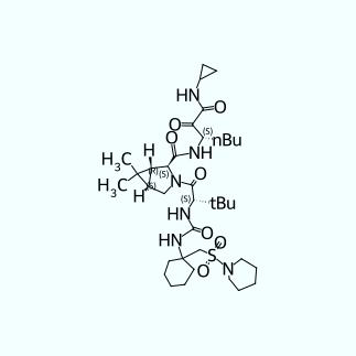 CCCC[C@H](NC(=O)[C@@H]1[C@@H]2[C@H](CN1C(=O)[C@@H](NC(=O)NC1(CS(=O)(=O)N3CCCCC3)CCCCC1)C(C)(C)C)C2(C)C)C(=O)C(=O)NC1CC1